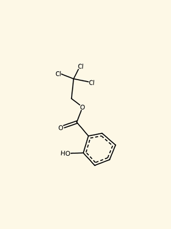 O=C(OCC(Cl)(Cl)Cl)c1ccccc1O